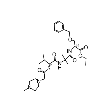 CCOC(=O)[C@H](COCc1ccccc1)NC(=O)C(C)(C)NC(=O)[C@@H](SC(=O)CN1CCN(C)CC1)C(C)C